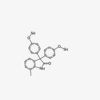 Cc1cccc2c1NC(=O)C2(c1ccc(OS)cc1)c1ccc(OS)cc1